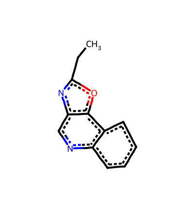 CCc1nc2cnc3ccccc3c2o1